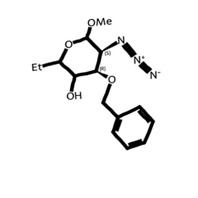 CCC1OC(OC)[C@@H](N=[N+]=[N-])[C@@H](OCc2ccccc2)C1O